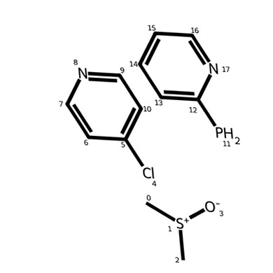 C[S+](C)[O-].Clc1ccncc1.Pc1ccccn1